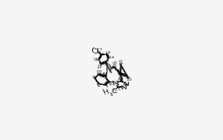 Cc1nnc2n1-c1ccccc1N(c1ccc(Cl)cc1)CC21CC1